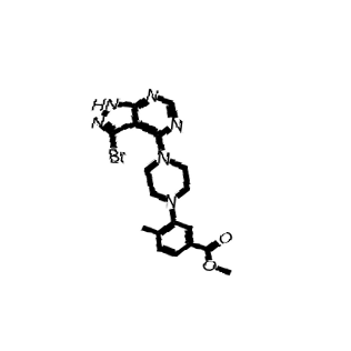 COC(=O)c1ccc(C)c(N2CCN(c3ncnc4[nH]nc(Br)c34)CC2)c1